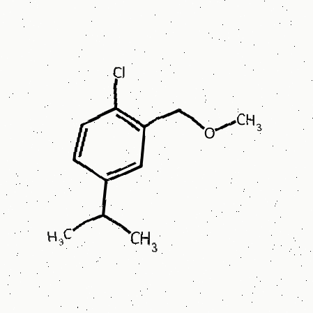 COCc1cc(C(C)C)ccc1Cl